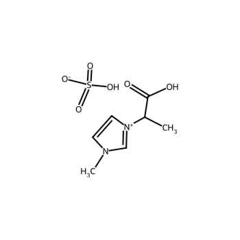 CC(C(=O)O)[n+]1ccn(C)c1.O=S(=O)([O-])O